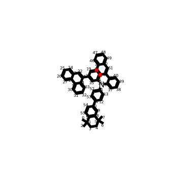 CC1(C)CCC(C)(C)c2cc(-c3ccc(N(c4cccc(-c5cc6ccccc6c6ccccc56)c4)c4ccccc4-c4ccc5ccccc5c4)cc3)ccc21